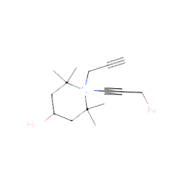 C#CC[N+]1(C#CCBr)C(C)(C)CC(O)CC1(C)C